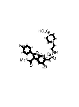 CCc1cc2c(C(=O)NC)c(-c3ccc(F)cc3)oc2nc1CS(=O)(=O)NCCN1CCN(C(=O)O)CC1